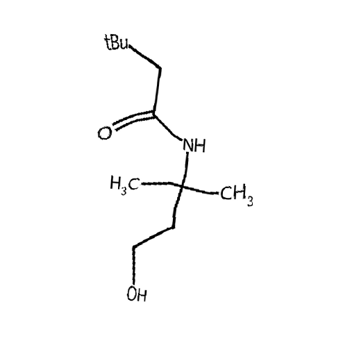 CC(C)(C)CC(=O)NC(C)(C)CCO